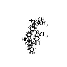 CN(C)[C@H]1CC[C@H](Nc2nc(Nc3ccc(C4CCN(C(=O)OC(C)(C)C)CC4)cc3)nc3sc4c(c23)CCC4)CC1